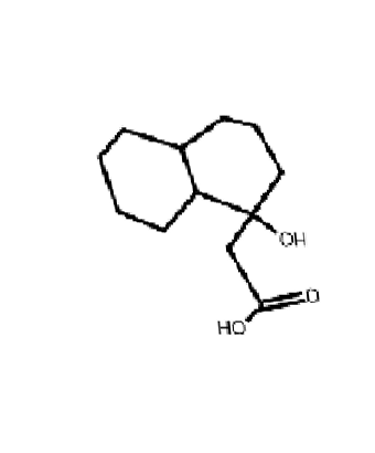 O=C(O)CC1(O)CCCC2CCCCC21